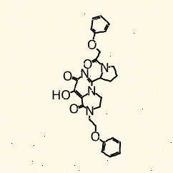 O=C1c2c(O)c(=O)nc(C3CCCN3C(=O)COc3ccccc3)n2CCN1CCOc1ccccc1